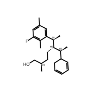 Cc1cc(F)c(C)c([C@@H](C)[C@@H](CC[C@@H](C)CO)[C@@H](C)C2C=CC=CC2)c1